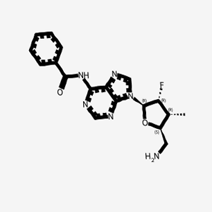 C[C@H]1[C@@H](F)[C@H](n2cnc3c(NC(=O)c4ccccc4)ncnc32)O[C@@H]1CN